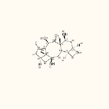 CC1=C2[C@@H](O)C(=O)[C@@]3(C)C(C[C@]4(O)C[C@@H](C1)[C@]24C)[C@@H]1CO[C@@H]1C[C@@H]3O